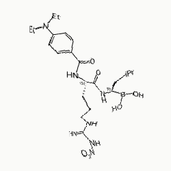 CCN(CC)c1ccc(C(=O)N[C@@H](CCCNC(=N)N[N+](=O)[O-])C(=O)N[C@@H](CC(C)C)B(O)O)cc1